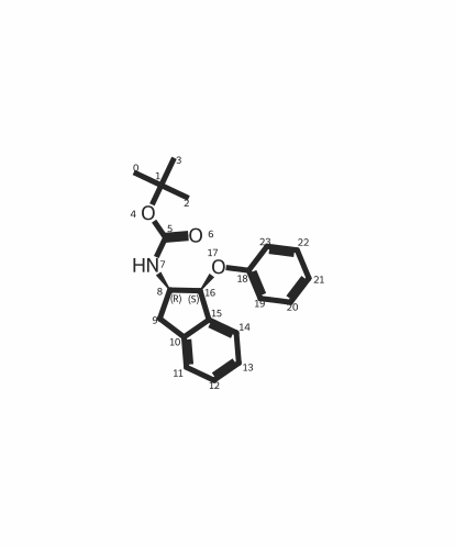 CC(C)(C)OC(=O)N[C@@H]1Cc2ccccc2[C@@H]1Oc1ccccc1